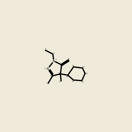 C=C1N(CC)N=C(C)C1(C)C1CCCCC1